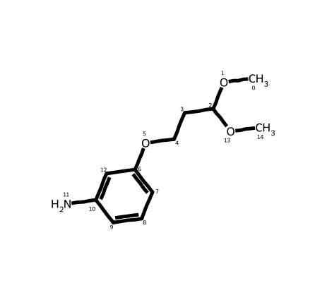 COC(CCOc1cccc(N)c1)OC